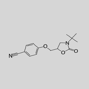 CC(C)(C)N1CC(COc2ccc(C#N)cc2)OC1=O